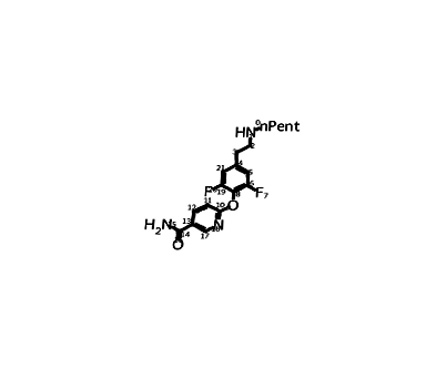 CCCCCNCCc1cc(F)c(Oc2ccc(C(N)=O)cn2)c(F)c1